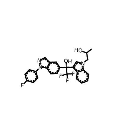 CC(O)Cn1cc([C@@](O)(c2ccc3c(cnn3-c3ccc(F)cc3)c2)C(F)(F)F)c2ccccc21